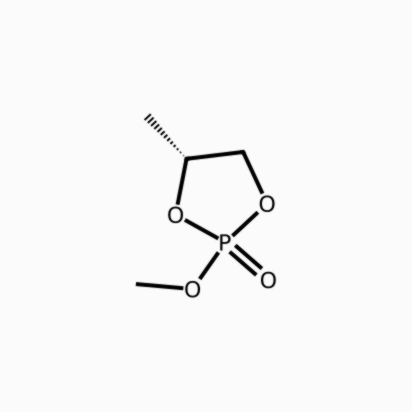 COP1(=O)OC[C@@H](C)O1